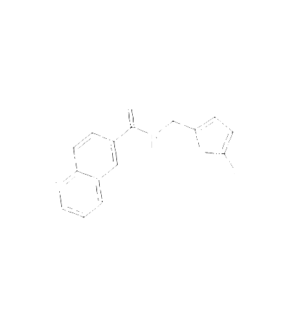 O=C(NCc1ccc(Cl)s1)c1ccc2ncccc2c1